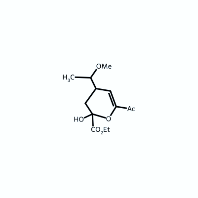 CCOC(=O)C1(O)CC(C(C)OC)C=C(C(C)=O)O1